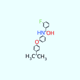 CC(C)c1ccc(Oc2cccc(NC(O)c3cccc(F)c3)c2)cc1